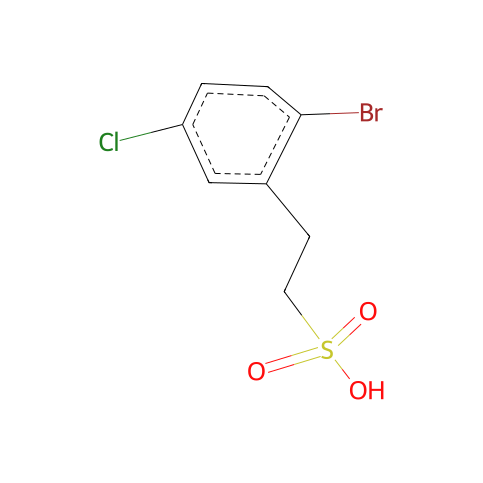 O=S(=O)(O)CCc1cc(Cl)ccc1Br